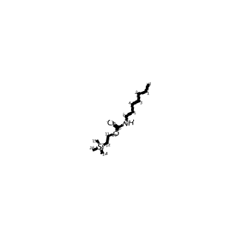 CCCCCCCNC(=O)OCC[Si](C)(C)C